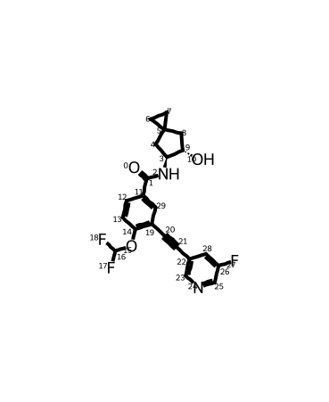 O=C(N[C@H]1CC2(CC2)C[C@@H]1O)c1ccc(OC(F)F)c(C#Cc2cncc(F)c2)c1